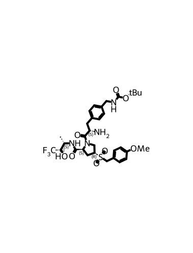 COc1ccc(CS(=O)(=O)[C@@H]2C[C@@H](C(=O)N[C@@H](C)[C@H](O)C(F)(F)F)N(C(=O)[C@@H](N)Cc3ccc(CNC(=O)OC(C)(C)C)cc3)C2)cc1